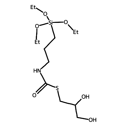 CCO[Si](CCCNC(=O)SCC(O)CO)(OCC)OCC